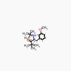 COc1cccc(C[C@H](NC(C)(C)C)C(=O)C(C)(C)C)c1